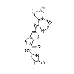 CCn1nc(NC(=O)n2ccc3cc(Oc4ncnc5c4C[C@H](C)N(C(C)=O)C5)ccc32)cc1C